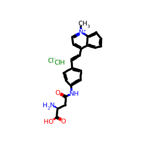 C[n+]1ccc(C=Cc2ccc(NC(=O)C[C@H](N)C(=O)O)cc2)c2ccccc21.Cl.[Cl-]